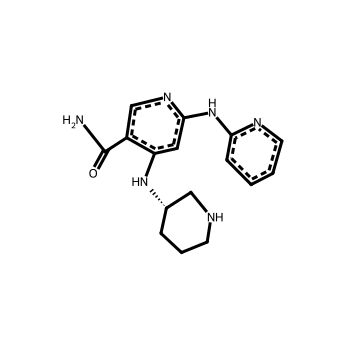 NC(=O)c1cnc(Nc2ccccn2)cc1N[C@H]1CCCNC1